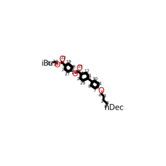 CCCCCCCCCCCCCCOc1ccc(-c2ccc(C(=O)Oc3ccc(C(=O)OCC(C)CC)cc3)cc2)cc1